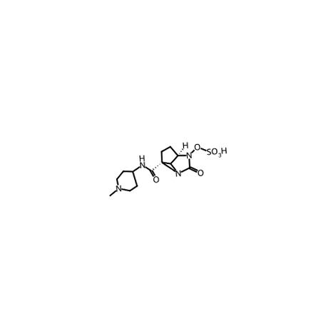 CN1CCC(NC(=O)[C@]23CC[C@@H]4C2N3C(=O)N4OS(=O)(=O)O)CC1